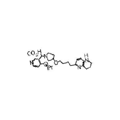 CC(C)Oc1ccncc1C(C(=O)O)N1CC[C@@H](OCCCCc2ccc3c(n2)CCCN3)C1